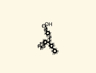 O=C(O)COc1ccc(SCC=C(c2ccc(-c3ccccc3)cc2)c2cccc(OC(F)(F)F)c2)cc1